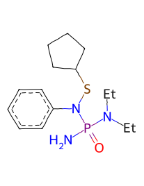 CCN(CC)P(N)(=O)N(SC1CCCC1)c1ccccc1